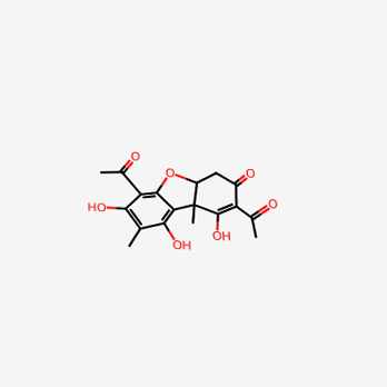 CC(=O)C1=C(O)C2(C)c3c(O)c(C)c(O)c(C(C)=O)c3OC2CC1=O